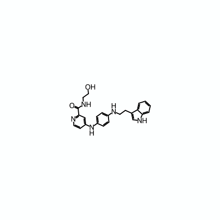 O=C(NCCO)c1cc(Nc2ccc(NCCc3c[nH]c4ccccc34)cc2)ccn1